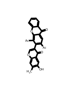 CC(=O)c1cc2c(=O)c3ccccc3oc2c(C(C)=O)c1-c1coc2cc(C)c(O)cc2c1=O